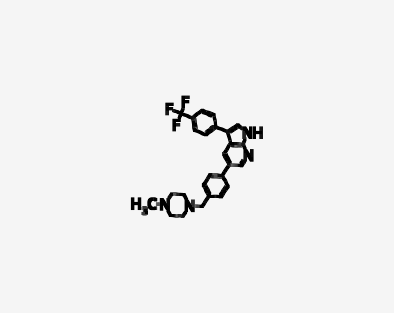 CN1CCN(Cc2ccc(-c3cnc4[nH]cc(-c5ccc(C(F)(F)F)cc5)c4c3)cc2)CC1